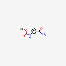 CC(C)(C)OC(=O)NC12CCC(C(N)=O)(C1)C2